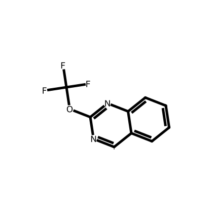 FC(F)(F)Oc1n[c]c2ccccc2n1